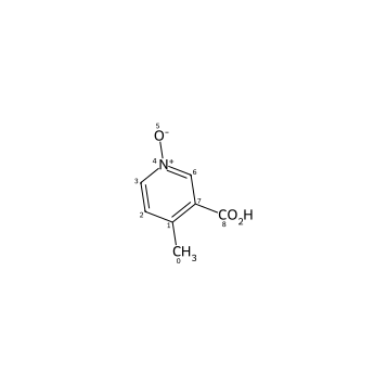 Cc1cc[n+]([O-])cc1C(=O)O